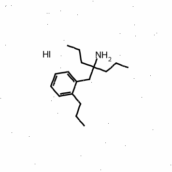 CCCc1ccccc1CC(N)(CCC)CCC.I